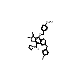 COc1ccc(COc2c3c(c(C(=O)N4CCC4)c4cc(Cc5ccc(F)cc5)cnc24)CN(C)C3=O)cc1